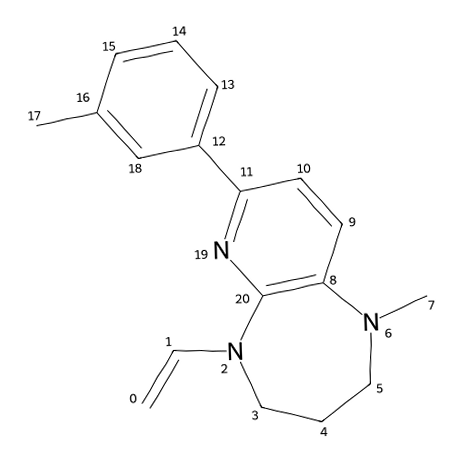 C=CN1CCCN(C)c2ccc(-c3cccc(C)c3)nc21